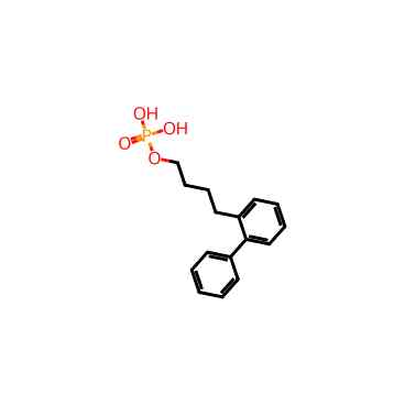 O=P(O)(O)OCCCCc1ccccc1-c1ccccc1